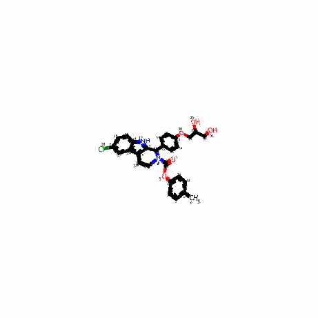 Cc1ccc(OC(=O)N2CCc3c([nH]c4ccc(Cl)cc34)C2c2ccc(OCC(O)CO)cc2)cc1